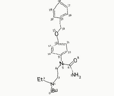 CCC(C)N(CC)CCN(C(N)=O)c1ccc(OCc2ccccc2)cc1